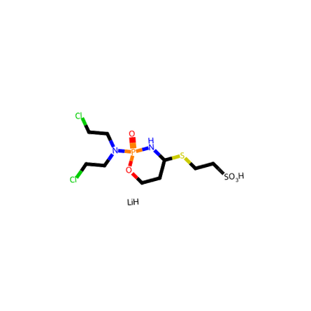 O=P1(N(CCCl)CCCl)NC(SCCS(=O)(=O)O)CCO1.[LiH]